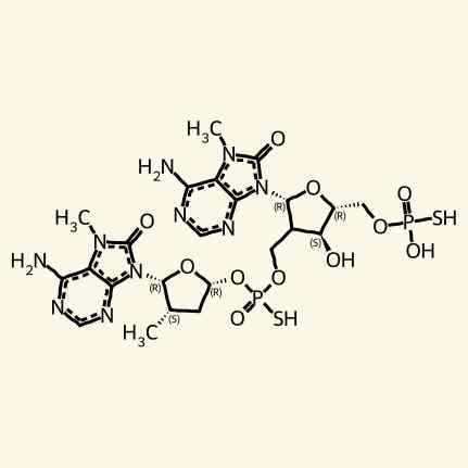 C[C@H]1C[C@@H](OP(=O)(S)OCC2[C@H](n3c(=O)n(C)c4c(N)ncnc43)O[C@H](COP(=O)(O)S)[C@H]2O)O[C@H]1n1c(=O)n(C)c2c(N)ncnc21